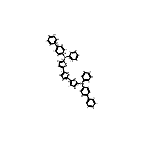 c1ccc(-c2ccc(N(c3ccccc3)c3ccc(-c4ccc(-c5ccc(N(c6ccccc6)c6ccc(-c7ccccc7)cc6)s5)s4)s3)cc2)cc1